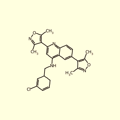 Cc1noc(C)c1-c1ccc2nc(-c3c(C)noc3C)cc(NCC3C=C(Cl)C=CC3)c2c1